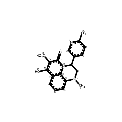 CN1CC(c2ccc(C(F)(F)F)nc2)n2c(=O)c(C(=O)O)c(O)c3cccc1c32